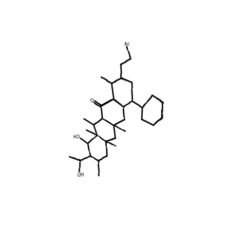 CC(=O)CCC1CC(C2CCCCC2)C2CC3(C)CC4(C)CC(C)C(C(C)O)C(O)C4(C)C(C)C3C(=O)C2C1C